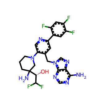 Nc1ncnc2c1ncn2Cc1cc(-c2cc(F)c(F)cc2F)ncc1N1CCCC(N)([C@H](O)C(F)F)C1